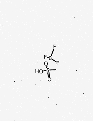 CS(=O)(=O)O.FB(F)F